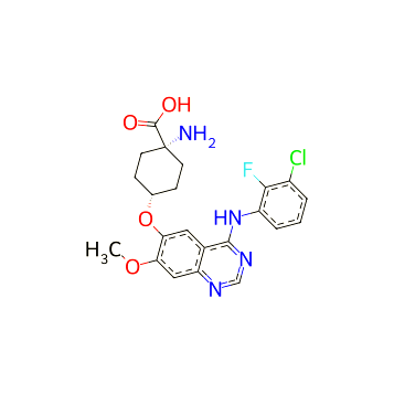 COc1cc2ncnc(Nc3cccc(Cl)c3F)c2cc1O[C@H]1CC[C@](N)(C(=O)O)CC1